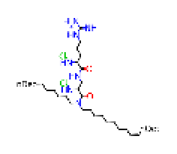 CCCCCCCC/C=C\CCCCCCCCN(CCCCCCCCCCCCCCCC)C(=O)C(CNC(=O)C(CCCNC(=N)N)NCl)NCl